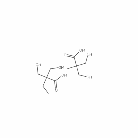 CC(CO)(CO)C(=O)O.CCC(CO)(CO)C(=O)O